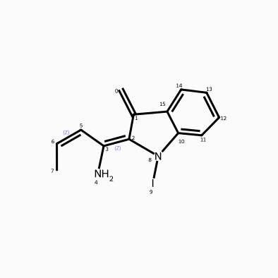 C=c1/c(=C(N)\C=C/C)n(I)c2ccccc12